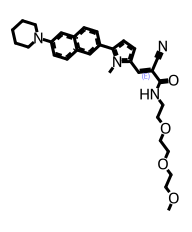 COCCOCCOCCNC(=O)/C(C#N)=C/c1ccc(-c2ccc3cc(N4CCCCC4)ccc3c2)n1C